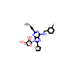 CCCCC#Cc1nc(NCc2cccc(I)c2)c2nc(-c3cccs3)n([C@H]3OC[C@@H](O)[C@H]3O)c2n1